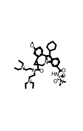 CCN(CC)CCN(CCN(CC)CC)C(=O)C12CC1c1cc(OC)ccc1-c1c(C3CCCCC3)c3ccc(C(=O)NS(=O)(=O)N(C)C)cc3n1C2